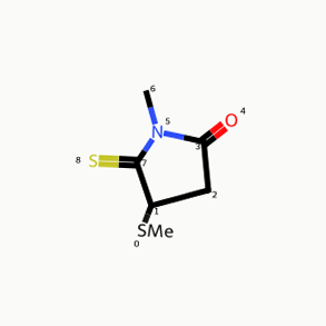 CSC1CC(=O)N(C)C1=S